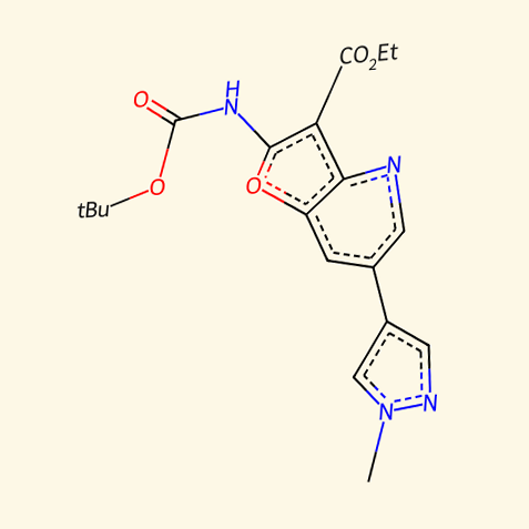 CCOC(=O)c1c(NC(=O)OC(C)(C)C)oc2cc(-c3cnn(C)c3)cnc12